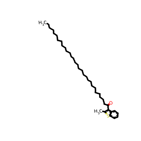 CCCCCCCCCCCCCCCCCCCCCCCCCCCCCC(=O)c1c(C)sc2ccccc12